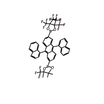 CC1(C)OB(c2ccc3c(-c4cccc5ccccc45)c4cc(B5OC(C(F)(F)F)(C(F)(F)F)C(C(F)(F)F)(C(F)(F)F)O5)ccc4c(-c4cccc5ccccc45)c3c2)OC1(C)C(F)(F)F